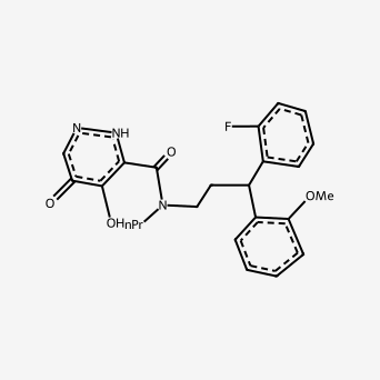 CCCN(CCC(c1ccccc1F)c1ccccc1OC)C(=O)c1[nH]ncc(=O)c1O